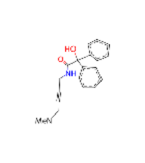 CNCC#CCNC(=O)C(O)(c1ccccc1)c1ccccc1